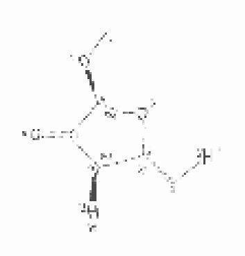 [2H]C[C@H]1O[C@H](OC)C(=O)[C@@H]1[2H]